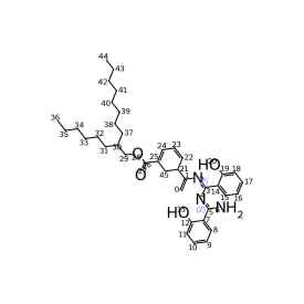 C=C(/N=C(\N=C(/N)c1ccccc1O)c1ccccc1O)C1C=CC=C(C(=O)OCC(CCCCCC)CCCCCCCC)C1